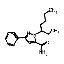 CCCCC(CC)n1nc(-c2ccccc2)cc1C(N)=O